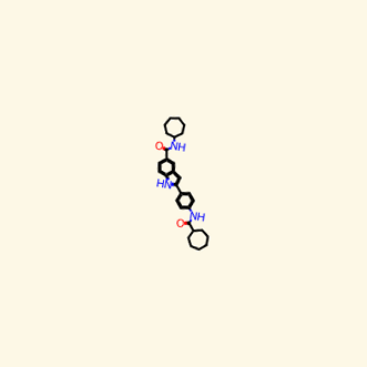 O=C(NC1CCCCCC1)c1ccc2[nH]c(-c3ccc(NC(=O)C4CCCCCC4)cc3)cc2c1